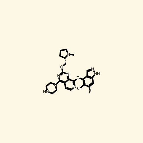 CN1CCC[C@H]1COc1nc(N2CCNCC2)c2ccnc(Oc3c(Cl)c(F)cc4[nH]ncc34)c2n1